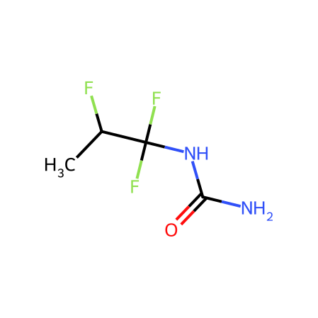 CC(F)C(F)(F)NC(N)=O